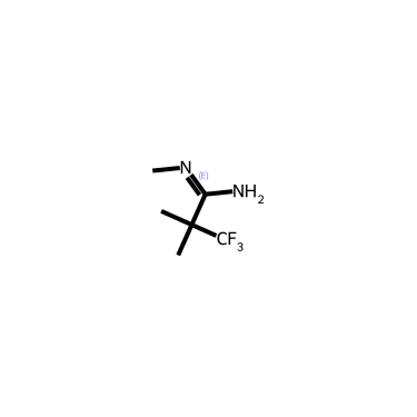 C/N=C(/N)C(C)(C)C(F)(F)F